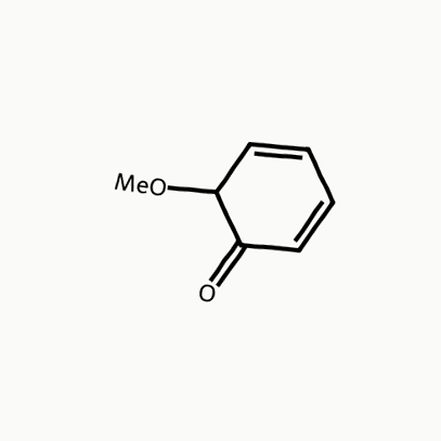 COC1C=CC=CC1=O